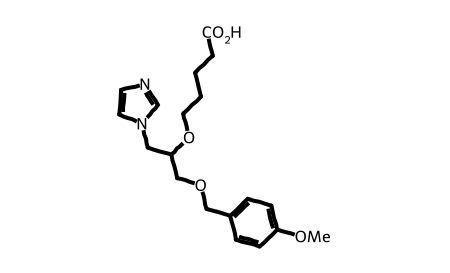 COc1ccc(COCC(Cn2ccnc2)OCCCCC(=O)O)cc1